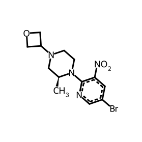 C[C@H]1CN(C2COC2)CCN1c1ncc(Br)cc1[N+](=O)[O-]